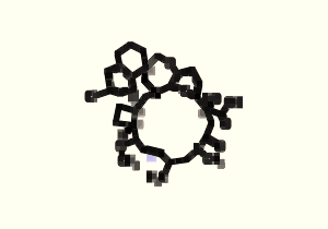 COC1/C=C/C(C)CN(C)C(=O)C[C@@](O)(C(=O)O)c2ccc3c(c2)N(C[C@@H]2CC[C@@H]12)C[C@@]1(CCCc2cc(Cl)ccc21)CO3